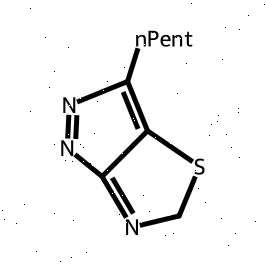 CCCCCC1=C2SCN=C2N=N1